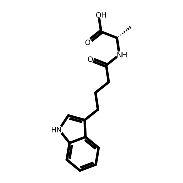 C[C@H](NC(=O)CCCc1c[nH]c2ccccc12)C(=O)O